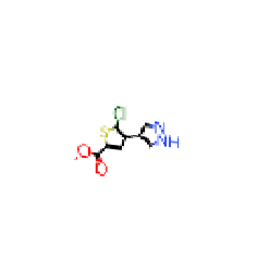 COC(=O)c1cc(-c2cn[nH]c2)c(Cl)s1